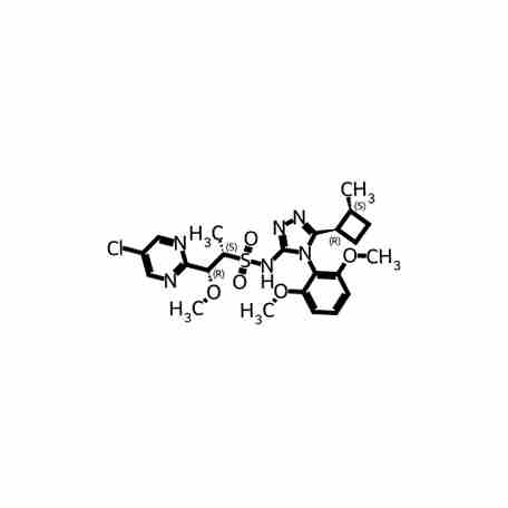 COc1cccc(OC)c1-n1c(NS(=O)(=O)[C@@H](C)[C@H](OC)c2ncc(Cl)cn2)nnc1[C@@H]1CC[C@@H]1C